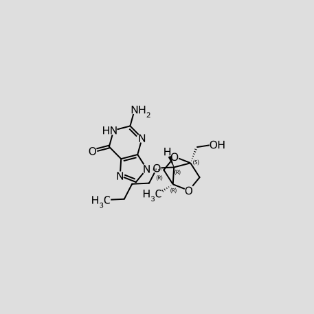 CCCCO[C@@H]1[C@]2(CO)CO[C@@]1(C)[C@H](n1cnc3c(=O)[nH]c(N)nc31)O2